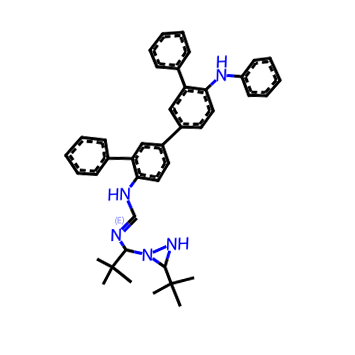 CC(C)(C)C(/N=C/Nc1ccc(-c2ccc(Nc3ccccc3)c(-c3ccccc3)c2)cc1-c1ccccc1)N1NC1C(C)(C)C